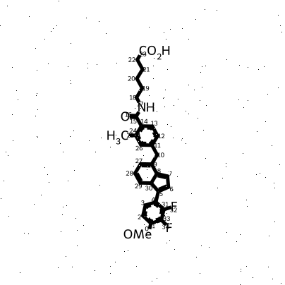 COc1ccc(C2=CC=C3C(Cc4ccc(C(=O)NCCCCCC(=O)O)c(C)c4)=CC=CC32)c(F)c1F